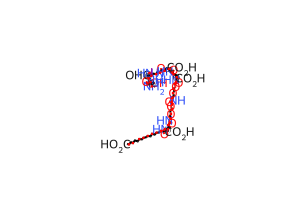 C[C@@H](O)[C@H](NC[C@@](C=O)(CCCCNC(=O)CC[C@H](NC(=O)CC[C@H](NC(=O)COCCOCCNC(=O)COCCOCCNC(=O)CC[C@H](NC(=O)CCCCCCCCCCCCCCCCC(=O)O)C(=O)O)C(=O)O)C(=O)O)NI)C(N)=O